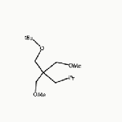 COCC(COC)(COC(C)(C)C)CC(C)C